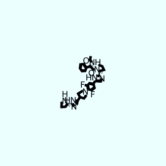 CC(=O)N[C@@H](C(=O)N1CCC[C@H]1c1ncc(-c2cc(F)c(N3CCC(c4cnc([C@@H]5CCCN5)[nH]4)CC3)c(F)c2)[nH]1)c1ccccc1